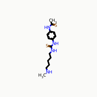 CNCCCCCNC(=S)Nc1ccc(NC(C)=S)cc1